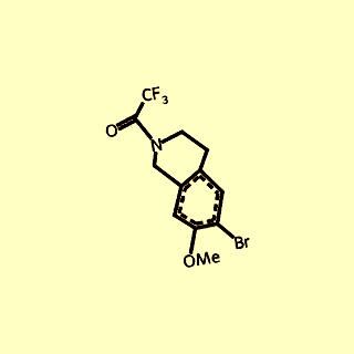 COc1cc2c(cc1Br)CCN(C(=O)C(F)(F)F)C2